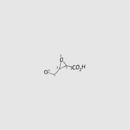 O=C(O)C1OC1CCl